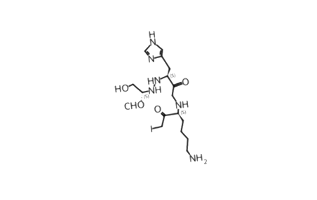 NCCCC[C@H](NCC(=O)[C@H](Cc1c[nH]cn1)NN[C@H](C=O)CO)C(=O)CI